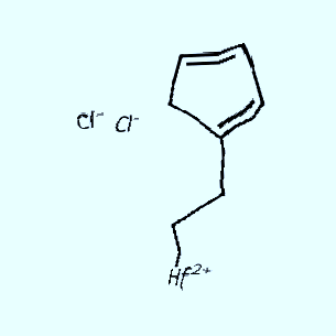 [Cl-].[Cl-].[Hf+2][CH2]CC1=CC=CC1